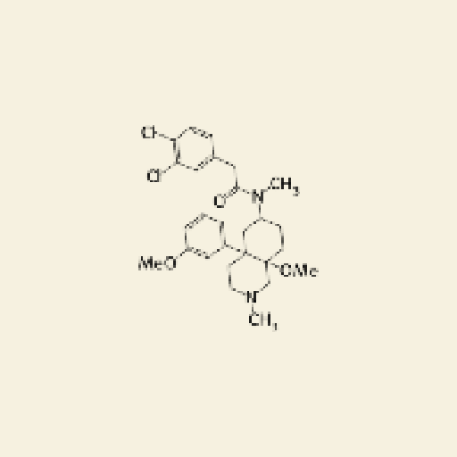 COc1cccc(C23CCN(C)CC2(OC)CCC(N(C)C(=O)Cc2ccc(Cl)c(Cl)c2)C3)c1